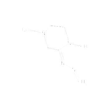 C=N/N=C1/CN(C(C)(C)C)CCN1C